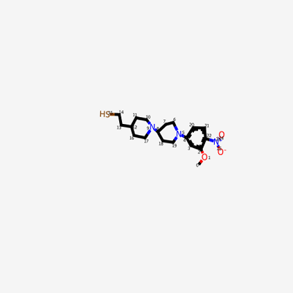 COc1cc(N2CCC(N3CCC(CCS)CC3)CC2)ccc1[N+](=O)[O-]